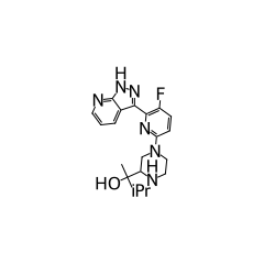 CC(C)C(C)(O)C1CN(c2ccc(F)c(-c3n[nH]c4ncccc34)n2)CCN1